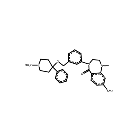 CSc1ncc2c(n1)N(C)CCN(c1cccc(COC3(c4ccccc4)CCN(C(=O)O)CC3)c1)C2=O